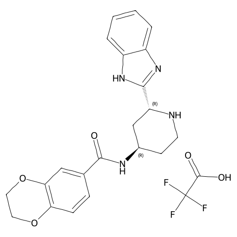 O=C(N[C@@H]1CCN[C@@H](c2nc3ccccc3[nH]2)C1)c1ccc2c(c1)OCCO2.O=C(O)C(F)(F)F